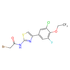 O=C(CBr)Nc1nc(-c2cc(F)c(OCC(F)(F)F)c(Cl)c2)cs1